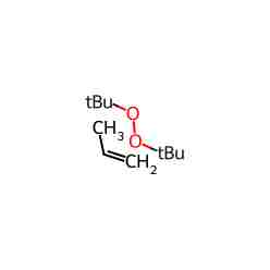 C=CC.CC(C)(C)OOC(C)(C)C